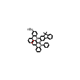 CCCCc1ccc(N2c3cc4c(cc3B3c5c(cccc52)-c2ccccc2N3c2ccccc2)-c2ccccc2C4(C)C)c(-c2ccccc2)c1